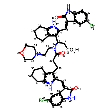 O=C(O)CC(c1c(C=C2C(=O)Nc3ccc(Br)cc32)[nH]c2c1CCCC2)N(CCN1CCOCC1)C(=O)CCc1c(C=C2C(=O)Nc3ccc(Br)cc32)[nH]c2c1CCCC2